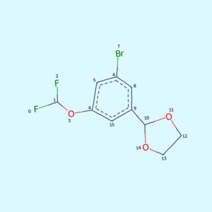 FC(F)Oc1cc(Br)cc(C2OCCO2)c1